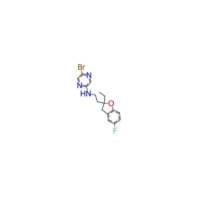 CCC1(CCNc2cnc(Br)cn2)Cc2cc(F)ccc2O1